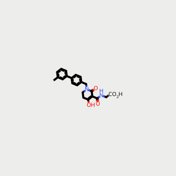 Cc1cccc(-c2ccc(CN3CCC(O)=C(C(=O)NCC(=O)O)C3=O)cc2)c1